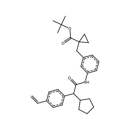 C=Cc1ccc(C(C(=O)Nc2cccc(CC3(C(=O)OC(C)(C)C)CC3)c2)C2CCCC2)cc1